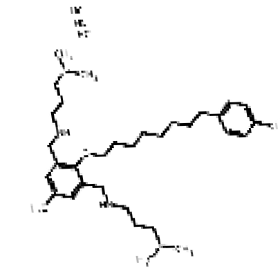 Cc1cc(CNCCCN(C)C)c(OCCCCCCCCc2ccc(Cl)cc2)c(CNCCCN(C)C)c1.Cl.Cl.Cl.Cl